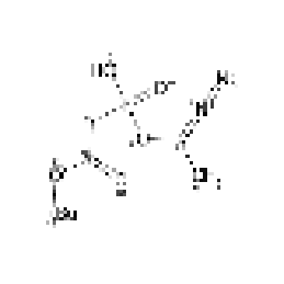 CC(=[N+]=[N-])OP(=O)(O)CC(=O)OC(C)(C)C